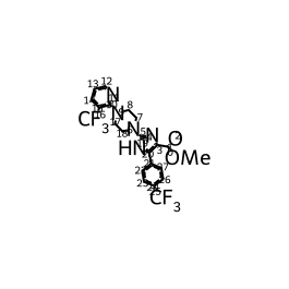 COC(=O)c1nc(N2CCN(c3ncccc3C(F)(F)F)CC2)[nH]c1-c1ccc(C(F)(F)F)cc1